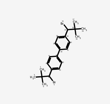 CC(C)(C)C(Br)c1ccc(-c2ccc(C(Br)C(C)(C)C)cc2)cc1